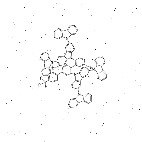 N#Cc1ccc(-n2c3ccc(-n4c5ccccc5c5ccccc54)cc3c3cc(-n4c5ccccc5c5ccccc54)ccc32)c(-c2ccc(-c3ccc(C(F)(F)F)cc3C(F)(F)F)cc2-n2c3ccc(-n4c5ccccc5c5ccccc54)cc3c3cc(-n4c5ccccc5c5ccccc54)ccc32)c1